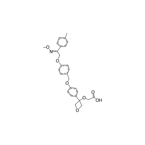 CON=C(COc1ccc(COc2ccc(C3(OCC(=O)O)COC3)cc2)cc1)c1ccc(C)cc1